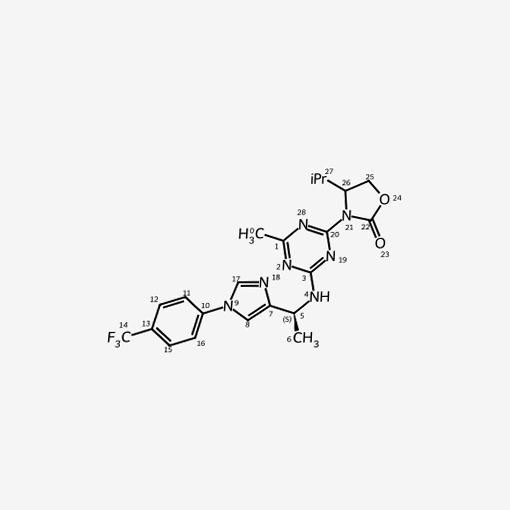 Cc1nc(N[C@@H](C)c2cn(-c3ccc(C(F)(F)F)cc3)cn2)nc(N2C(=O)OCC2C(C)C)n1